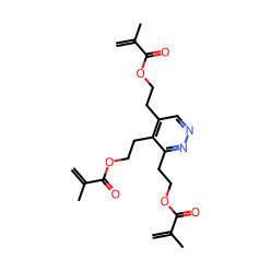 C=C(C)C(=O)OCCc1cnnc(CCOC(=O)C(=C)C)c1CCOC(=O)C(=C)C